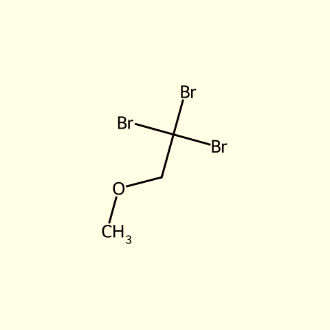 COCC(Br)(Br)Br